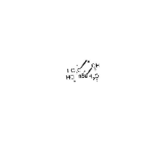 CC(=O)O.CCCCO.Cl.O